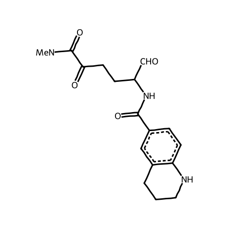 CNC(=O)C(=O)CCC(C=O)NC(=O)c1ccc2c(c1)CCCN2